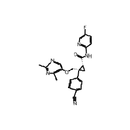 Cc1ncc(OC[C@@]2(c3ccc(C#N)cc3)C[C@H]2C(=O)Nc2ccc(F)cn2)c(C)n1